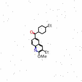 CCc1cc2cc(C(=O)C3CCC(CC)CC3)ccc2nc1OC